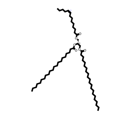 CCCC/C=C\CCCCCCCC(=O)OC[C@H](COC(=O)CCCCCCCCCCCCCCCCCCCCC)OC(=O)CCCCCCCCCCCCCCCCCCCC